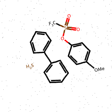 COc1ccc(OS(=O)(=O)C(F)(F)F)cc1.S.c1ccc(-c2ccccc2)cc1